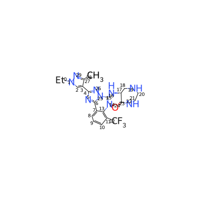 CCn1cc(-c2nc3c4cccc(C(F)(F)F)c4nc(N[C@H]4CNCCNC4=O)n3n2)c(C)n1